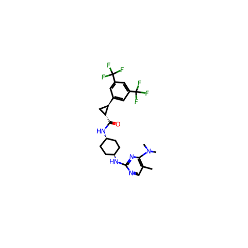 Cc1cnc(N[C@H]2CC[C@@H](NC(=O)[C@@H]3C[C@H]3c3cc(C(F)(F)F)cc(C(F)(F)F)c3)CC2)nc1N(C)C